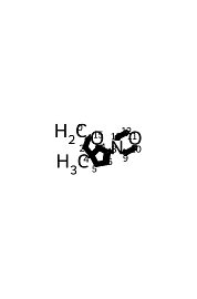 C=CC[C@]1(C)CC=C(N2CCOCC2)C1=O